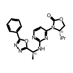 CC(C)[C@H]1COC(=O)N1c1ccnc(N[C@@H](C)c2nnc(-c3ccccc3)o2)n1